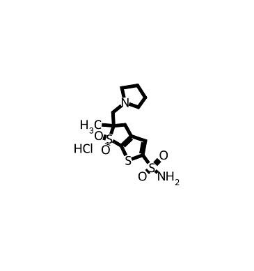 CC1(CN2CCCC2)Cc2cc(S(N)(=O)=O)sc2S1(=O)=O.Cl